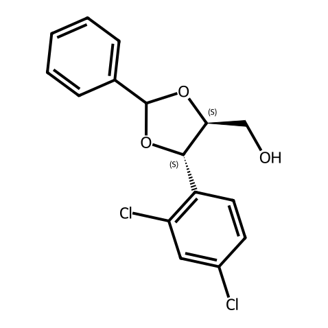 OC[C@@H]1OC(c2ccccc2)O[C@H]1c1ccc(Cl)cc1Cl